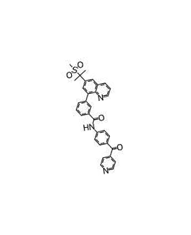 CC(C)(c1cc(-c2cccc(C(=O)Nc3ccc(C(=O)c4ccncc4)cc3)c2)c2ncccc2c1)S(C)(=O)=O